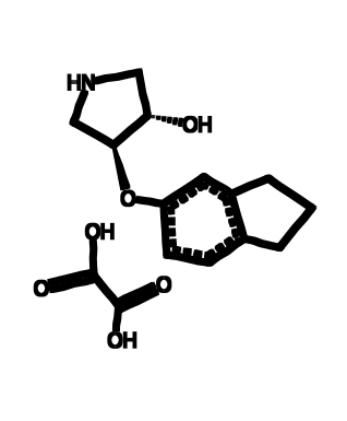 O=C(O)C(=O)O.O[C@H]1CNC[C@@H]1Oc1ccc2c(c1)CCC2